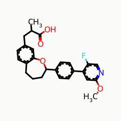 COc1cc(-c2ccc(C3CCCc4ccc(CC(C)C(=O)O)cc4O3)cc2)c(F)cn1